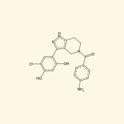 Nc1ccc(C(=O)N2CCc3[nH]nc(-c4cc(Cl)c(O)cc4O)c3C2)cc1